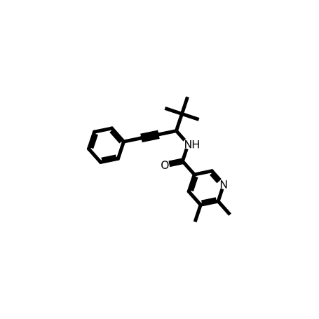 Cc1cc(C(=O)NC(C#Cc2ccccc2)C(C)(C)C)cnc1C